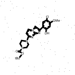 COc1cc(O)c(-c2cn3ccc(N4CCN(C(=O)OC(C)(C)C)CC4)nc3n2)cc1Cl